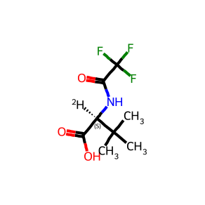 [2H][C@@](NC(=O)C(F)(F)F)(C(=O)O)C(C)(C)C